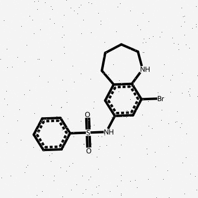 O=S(=O)(Nc1cc(Br)c2c(c1)CCCCN2)c1ccccc1